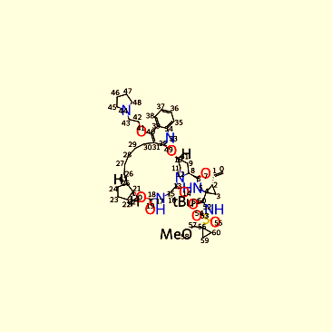 C=C[C@@H]1C[C@]1(NC(=O)[C@@H]1C[C@@H]2CN1C(=O)[C@H](C(C)(C)C)NC(=O)O[C@@H]1CCC[C@H]1CCCCCc1c(nc3ccccc3c1OCCN1CCCC1)O2)C(=O)NS(=O)(=O)C1(COC)CC1